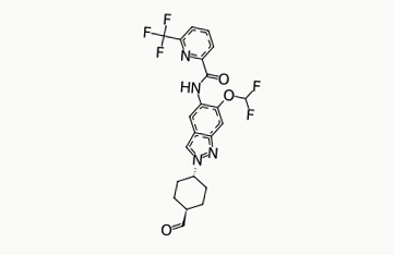 O=C[C@H]1CC[C@H](n2cc3cc(NC(=O)c4cccc(C(F)(F)F)n4)c(OC(F)F)cc3n2)CC1